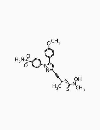 COc1ccc(-c2cc(C#CC(C)SC(=S)N(C)O)nn2-c2ccc(S(N)(=O)=O)cc2)cc1